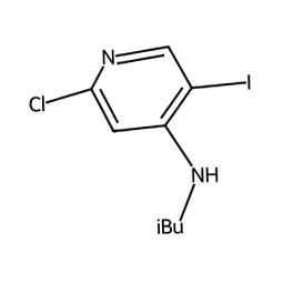 CCC(C)Nc1cc(Cl)ncc1I